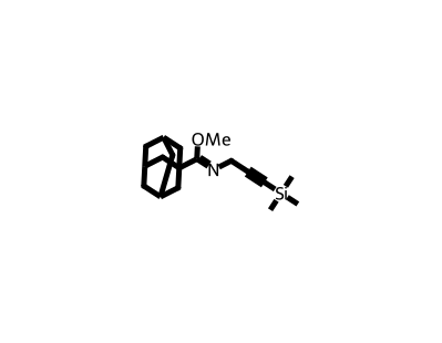 CO/C(=N\CC#C[Si](C)(C)C)C12CC3CC(CC(C3)C1)C2